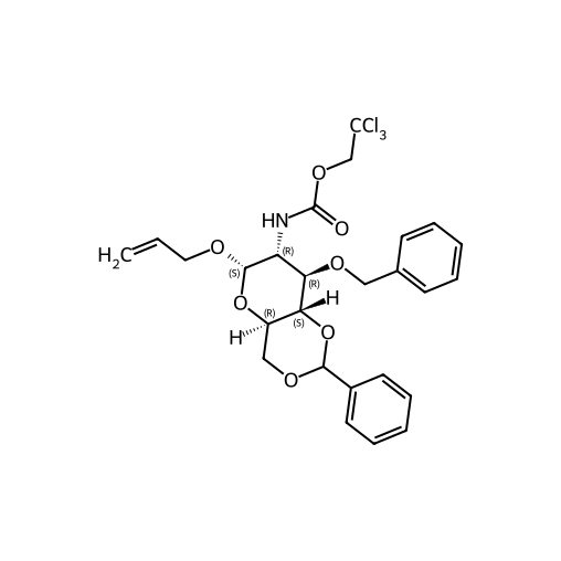 C=CCO[C@H]1O[C@@H]2COC(c3ccccc3)O[C@H]2[C@H](OCc2ccccc2)[C@H]1NC(=O)OCC(Cl)(Cl)Cl